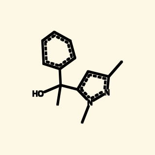 Cc1cc(C(C)(O)c2ccccc2)n(C)n1